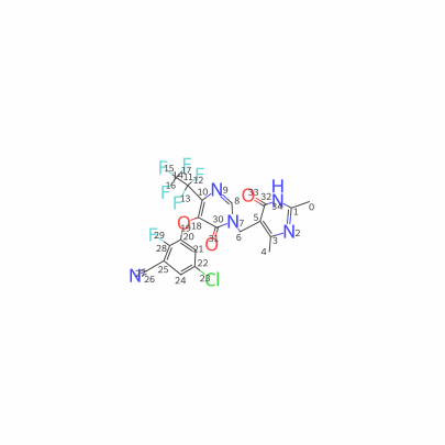 Cc1nc(C)c(Cn2cnc(C(F)(F)C(F)(F)F)c(Oc3cc(Cl)cc(C#N)c3F)c2=O)c(=O)[nH]1